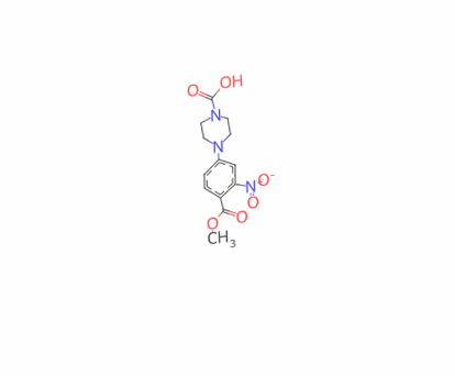 COC(=O)c1ccc(N2CCN(C(=O)O)CC2)cc1[N+](=O)[O-]